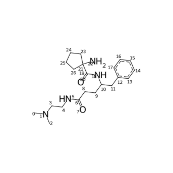 CN(C)CCNC(=O)CCC(Cc1ccccc1)NC(=O)C1(N)CCCC1